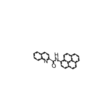 O=C(Nc1ccc2ccc3cccc4ccc1c2c34)c1ccc2ccccc2n1